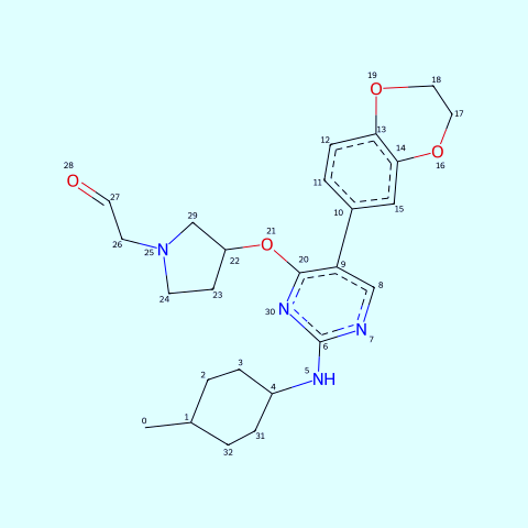 CC1CCC(Nc2ncc(-c3ccc4c(c3)OCCO4)c(OC3CCN(CC=O)C3)n2)CC1